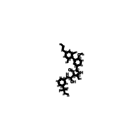 C/C=C/c1cc(C)c(-c2cc(-c3[nH]c(C)c(C(O)Nc4cccc(C(F)(F)CC)c4)[n+]3[O-])ccc2OC)c(C)c1